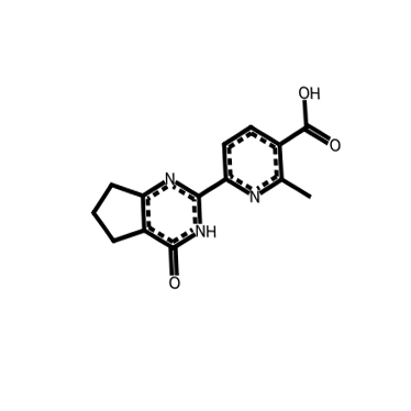 Cc1nc(-c2nc3c(c(=O)[nH]2)CCC3)ccc1C(=O)O